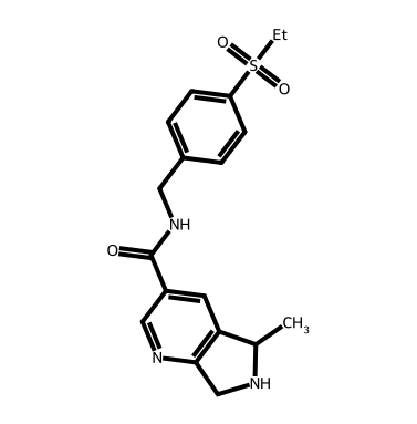 CCS(=O)(=O)c1ccc(CNC(=O)c2cnc3c(c2)C(C)NC3)cc1